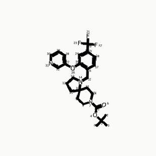 CC(C)(C)OC(=O)N1CCC2(CCCN2Cc2ccc(C(F)(F)F)cc2Oc2cccnc2)CC1